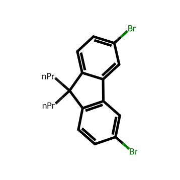 CCCC1(CCC)c2ccc(Br)cc2-c2cc(Br)ccc21